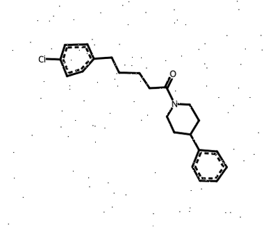 O=C(CCCCc1ccc(Cl)cc1)N1CCC(c2ccccc2)CC1